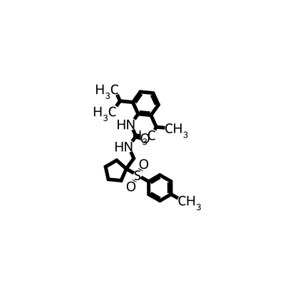 Cc1ccc(S(=O)(=O)C2(CNC(=O)Nc3c(C(C)C)cccc3C(C)C)CCCC2)cc1